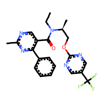 CCN(C(=O)c1cnc(C)nc1-c1ccccc1)[C@@H](C)COc1ncc(C(F)(F)F)cn1